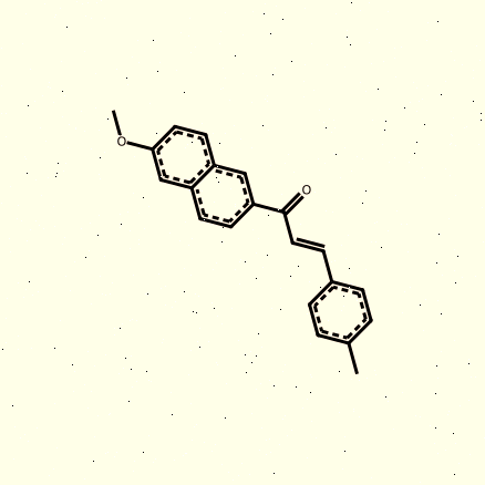 COc1ccc2cc(C(=O)C=Cc3ccc(C)cc3)ccc2c1